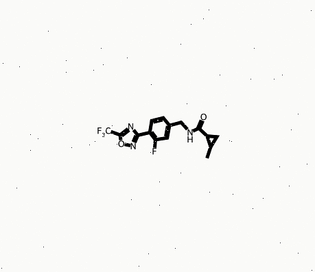 CC1CC1C(=O)NCc1ccc(-c2noc(C(F)(F)F)n2)c(F)c1